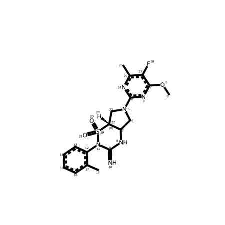 COc1nc(N2CC3NC(=N)N(c4ccccc4C)S(=O)(=O)[C@@H]3C2)nc(C)c1F